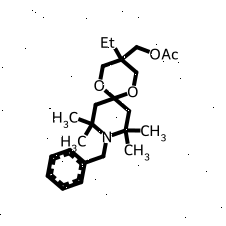 CCC1(COC(C)=O)COC2(CC(C)(C)N(Cc3ccccc3)C(C)(C)C2)OC1